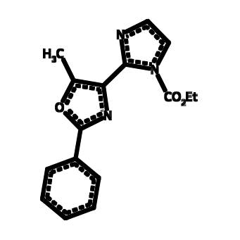 CCOC(=O)n1ccnc1-c1nc(-c2ccccc2)oc1C